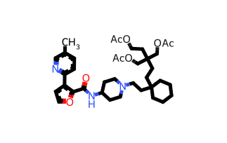 CC(=O)OCCC(CCC1(CCN2CCC(NC(=O)c3occc3-c3ccc(C)cn3)CC2)CCCCC1)(COC(C)=O)COC(C)=O